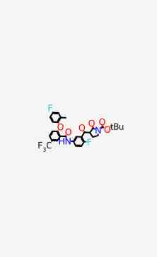 Cc1cc(F)ccc1Oc1ccc(C(F)(F)F)cc1C(=O)Nc1ccc(F)c(C(=O)C2CCN(C(=O)OC(C)(C)C)C2=O)c1